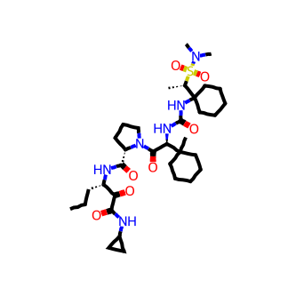 CCC[C@H](NC(=O)[C@@H]1CCCN1C(=O)[C@@H](NC(=O)NC1([C@H](C)S(=O)(=O)N(C)C)CCCCC1)C1(C)CCCCC1)C(=O)C(=O)NC1CC1